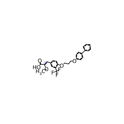 CO/C(=C\c1ccc(OCCCOc2ccc(-c3ccccc3)cc2)c(C(F)(F)F)c1)C(=O)O